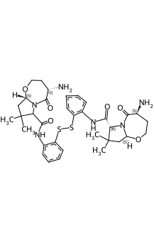 CC1(C)C[C@@H]2OCC[C@H](N)C(=O)N2C1C(=O)Nc1ccccc1SSc1ccccc1NC(=O)[C@@H]1N2C(=O)[C@@H](N)CCO[C@H]2CC1(C)C